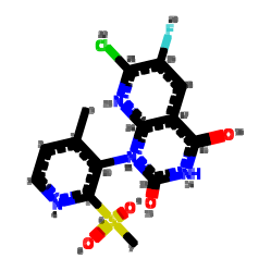 Cc1ccnc(S(C)(=O)=O)c1-n1c(=O)[nH]c(=O)c2cc(F)c(Cl)nc21